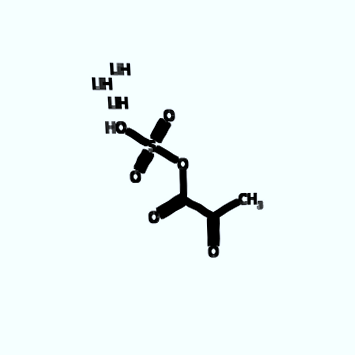 CC(=O)C(=O)OS(=O)(=O)O.[LiH].[LiH].[LiH]